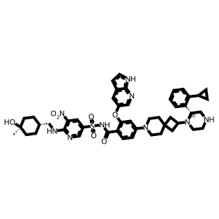 C[C@]1(O)CC[C@H](CNc2ncc(S(=O)(=O)NC(=O)c3ccc(N4CCC5(CC4)CC(N4CCNC[C@H]4c4ccccc4C4CC4)C5)cc3Oc3cnc4[nH]ccc4c3)cc2[N+](=O)[O-])CC1